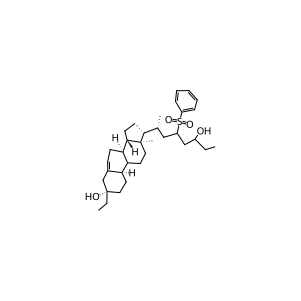 CCC(O)CC(C[C@@H](C)[C@H]1CC[C@H]2[C@@H]3CC=C4C[C@](O)(CC)CC[C@@H]4C3CC[C@]12C)S(=O)(=O)c1ccccc1